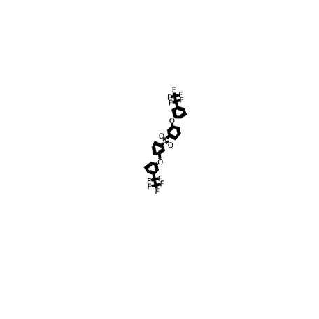 O=S(=O)(c1cccc(Oc2cccc(C(F)(F)C(F)(F)F)c2)c1)c1cccc(Oc2cccc(C(F)(F)C(F)(F)F)c2)c1